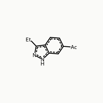 CCc1n[nH]c2cc(C(C)=O)ccc12